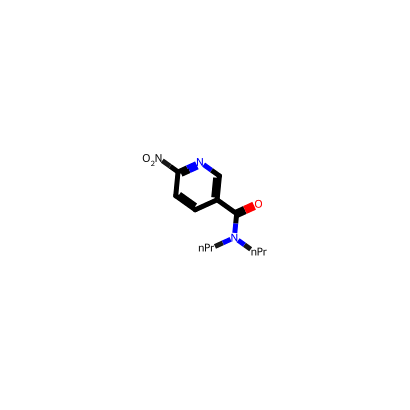 CCCN(CCC)C(=O)c1ccc([N+](=O)[O-])nc1